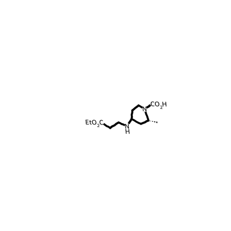 CCOC(=O)CCNC1CCN(C(=O)O)[C@H](C)C1